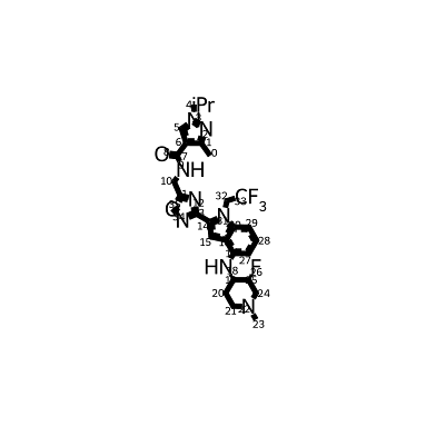 Cc1nn(C(C)C)cc1C(=O)NCc1nc(-c2cc3c(N[C@@H]4CCN(C)C[C@@H]4F)cccc3n2CC(F)(F)F)no1